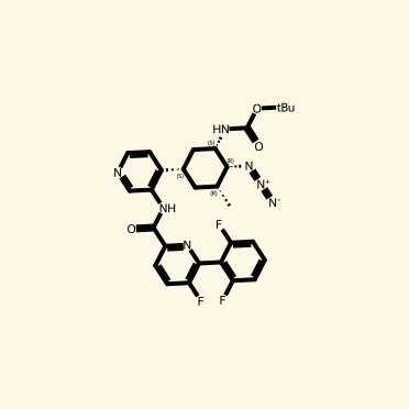 C[C@@H]1C[C@H](c2ccncc2NC(=O)c2ccc(F)c(-c3c(F)cccc3F)n2)C[C@H](NC(=O)OC(C)(C)C)[C@@H]1N=[N+]=[N-]